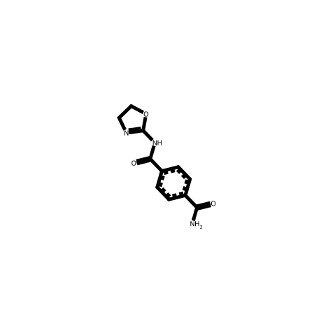 NC(=O)c1ccc(C(=O)NC2=NCCO2)cc1